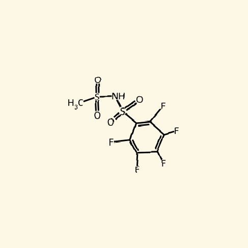 CS(=O)(=O)NS(=O)(=O)c1c(F)c(F)c(F)c(F)c1F